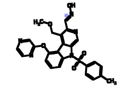 COCc1c(/C=N/O)ncc2c1c1c(Oc3cnccn3)cccc1n2S(=O)(=O)c1ccc(C)cc1